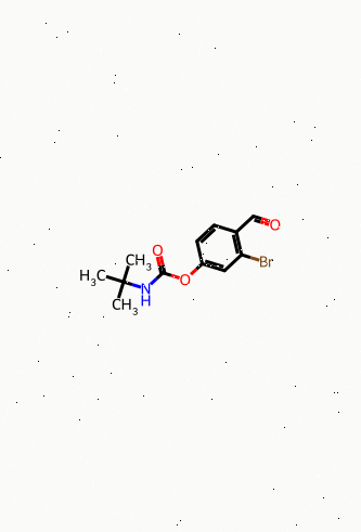 CC(C)(C)NC(=O)Oc1ccc(C=O)c(Br)c1